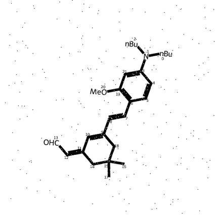 CCCCN(CCCC)c1ccc(C=CC2=CC(=CC=O)CC(C)(C)C2)c(OC)c1